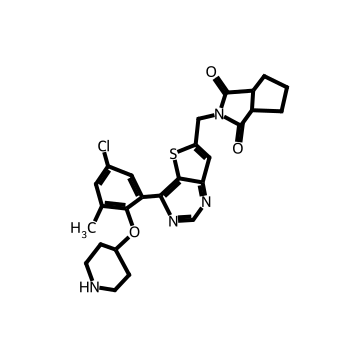 Cc1cc(Cl)cc(-c2ncnc3cc(CN4C(=O)C5CCCC5C4=O)sc23)c1OC1CCNCC1